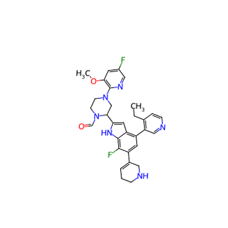 CCc1ccncc1-c1cc(C2=CCCNC2)c(F)c2[nH]c(C3CN(c4ncc(F)cc4OC)CCN3C=O)cc12